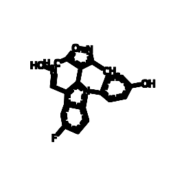 Cc1noc(C)c1-c1c(C=NO)c2cc(F)ccc2n1-c1ccc(O)cc1